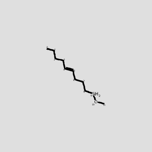 CCCCC=CCCC[SiH2]OC